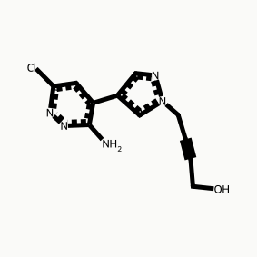 Nc1nnc(Cl)cc1-c1cnn(CC#CCO)c1